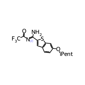 CCCC(C)Oc1ccc2cc(/C(N)=N/C(=O)C(F)(F)F)sc2c1